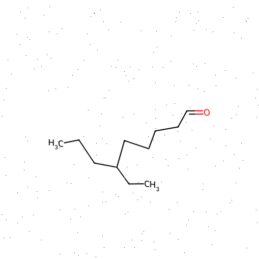 CCCC(CC)CCCCC=O